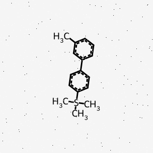 Cc1cccc(-c2ccc(S(C)(C)C)cc2)c1